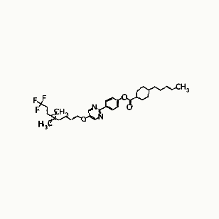 CCCCCC1CCC(C(=O)Oc2ccc(-c3ncc(OCCCC[Si](C)(C)CCC(F)(F)F)cn3)cc2)CC1